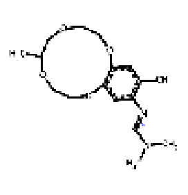 CC1COCCOc2cc(C#N)c(/N=C/N(C)C)cc2OCCO1